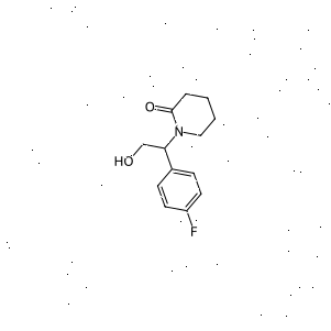 O=C1CCCCN1C(CO)c1ccc(F)cc1